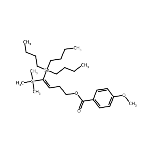 CCC[CH2][Sn]([CH2]CCC)([CH2]CCC)/[C](=C\CCOC(=O)c1ccc(OC)cc1)[Si](C)(C)C